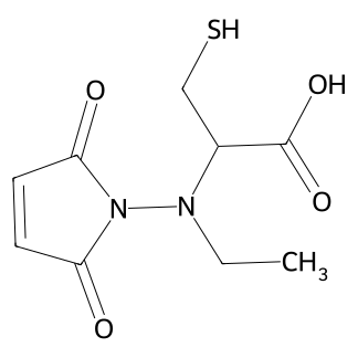 CCN(C(CS)C(=O)O)N1C(=O)C=CC1=O